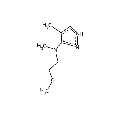 COCCN(C)c1n[nH]cc1C